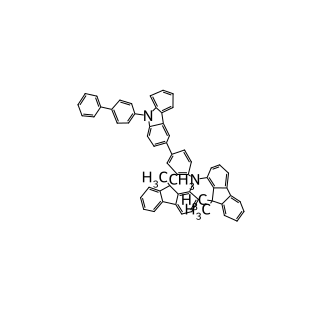 CC1(C)c2ccccc2-c2cccc(N(c3ccc(-c4ccc5c(c4)c4ccccc4n5-c4ccc(-c5ccccc5)cc4)cc3)c3cccc4c3C(C)(C)c3ccccc3-4)c21